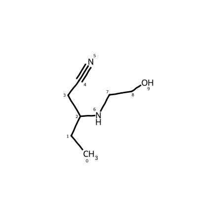 CCC(CC#N)NCCO